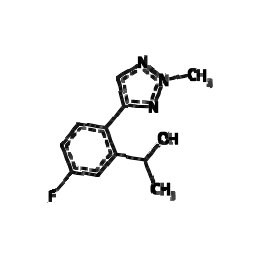 CC(O)c1cc(F)ccc1-c1cnn(C)n1